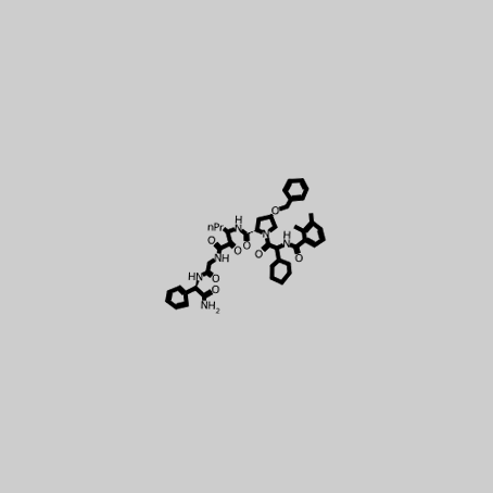 CCCC(NC(=O)[C@@H]1C[C@@H](OCc2ccccc2)CN1C(=O)C(NC(=O)c1cccc(C)c1C)C1CCCCC1)C(=O)C(=O)NCC(=O)N[C@@H](C(N)=O)c1ccccc1